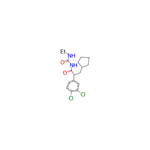 CCNC(=O)NC(=O)C(CC1CCCC1)c1ccc(Cl)c(Cl)c1